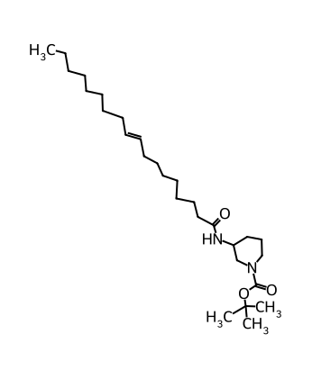 CCCCCCCCC=CCCCCCCCC(=O)NC1CCCN(C(=O)OC(C)(C)C)C1